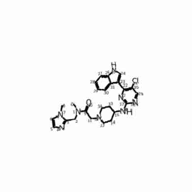 CN(Cc1nccn1C)C(=O)CN1CCC(Nc2ncc(Cl)c(-c3c[nH]c4ccccc34)n2)CC1